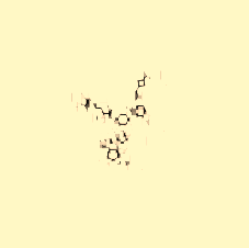 N=C(N)NCC[C@H](O)C(=O)N[C@@H]1C[C@H](N)[C@@H](O[C@H]2O[C@H](CNCC3CC(N)C3)CC[C@H]2N)[C@H](O[C@@H]2O[C@H](CO)[C@@H](O[C@H]3O[C@@H](CN)[C@@H](O)[C@H](O)[C@H]3N)[C@H]2O)[C@H]1O